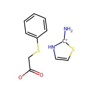 N[c+]1[nH]ccs1.O=C([O-])CSc1ccccc1